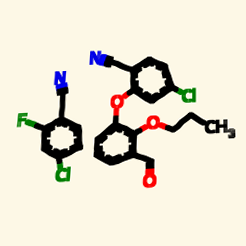 CCCOc1c(C=O)cccc1Oc1cc(Cl)ccc1C#N.N#Cc1ccc(Cl)cc1F